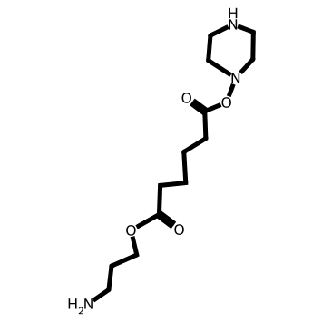 NCCCOC(=O)CCCCC(=O)ON1CCNCC1